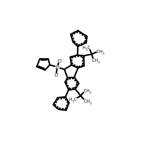 CC(C)(C)c1cc2c(cc1-c1ccccc1)[CH]([Zr]([Cl])([Cl])[CH]1C=CC=C1)c1cc(-c3ccccc3)c(C(C)(C)C)cc1-2